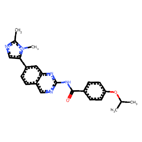 Cc1ncc(-c2ccc3cnc(NC(=O)c4ccc(OC(C)C)cc4)nc3c2)n1C